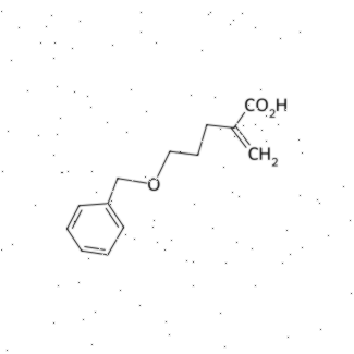 C=C(CCCOCc1ccccc1)C(=O)O